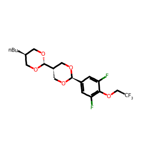 CCCC[C@H]1CO[C@H]([C@H]2CO[C@H](c3cc(F)c(OCC(F)(F)F)c(F)c3)OC2)OC1